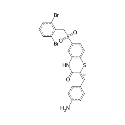 Nc1ccc(/C=C2/Sc3ccc(S(=O)(=O)Cc4c(Br)cccc4Br)cc3NC2=O)cc1